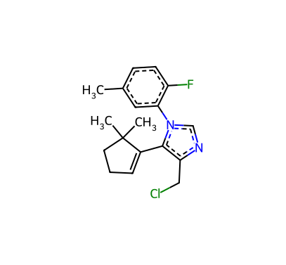 Cc1ccc(F)c(-n2cnc(CCl)c2C2=CCCC2(C)C)c1